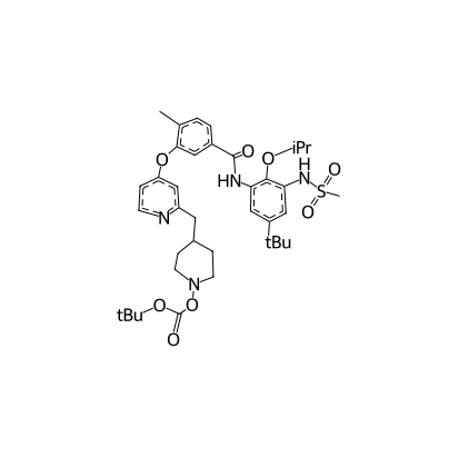 Cc1ccc(C(=O)Nc2cc(C(C)(C)C)cc(NS(C)(=O)=O)c2OC(C)C)cc1Oc1ccnc(CC2CCN(OC(=O)OC(C)(C)C)CC2)c1